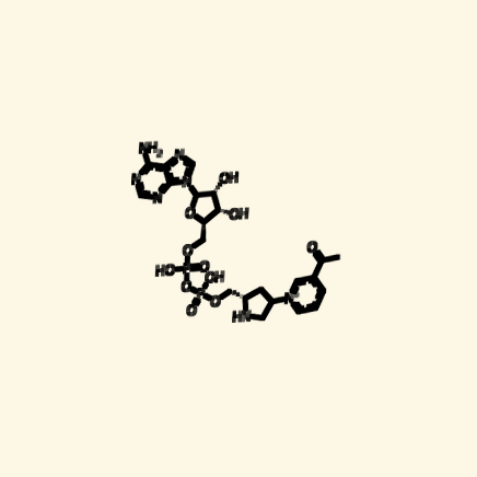 CC(=O)c1ccc[n+](C2CN[C@H](COP(=O)(O)OP(=O)(O)OC[C@H]3OC(n4cnc5c(N)ncnc54)[C@H](O)[C@@H]3O)C2)c1